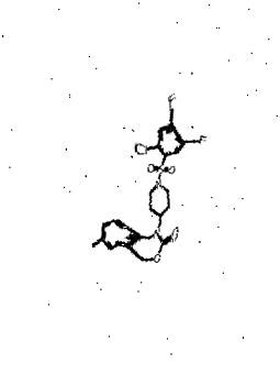 Cc1ccc2c(c1)COC(=O)N2C1CCN(S(=O)(=O)c2cc(F)c(F)cc2Cl)CC1